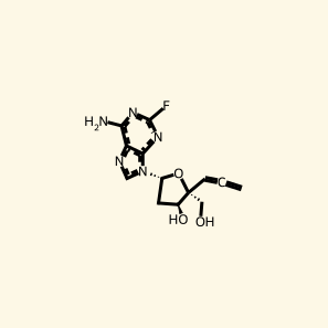 C=C=C[C@]1(CO)O[C@@H](n2cnc3c(N)nc(F)nc32)C[C@@H]1O